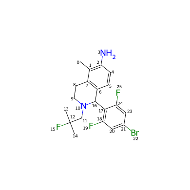 Cc1c(N)ccc2c1CCN(CC(C)(C)F)C2c1c(F)cc(Br)cc1F